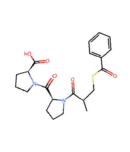 CC(CSC(=O)c1ccccc1)C(=O)N1CCC[C@H]1C(=O)N1CCC[C@H]1C(=O)O